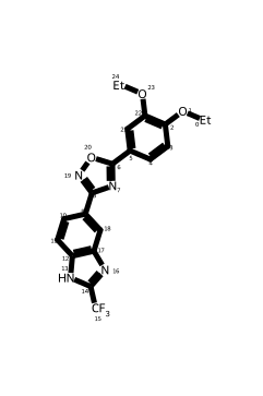 CCOc1ccc(-c2nc(-c3ccc4[nH]c(C(F)(F)F)nc4c3)no2)cc1OCC